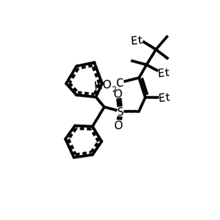 CCC(CS(=O)(=O)C(c1ccccc1)c1ccccc1)=C(C(=O)O)C(C)(CC)C(C)(C)CC